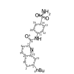 CCCCc1ccc2ccc(C(=O)Nc3ccc(S(N)(=O)=O)cc3)nc2c1